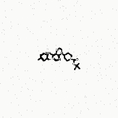 Cc1ccc(Nc2ncnc3c2OCCN3C2CCN(C(=O)OC(C)(C)C)CC2)c(F)c1